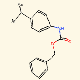 CC(=O)C(C(C)=O)c1ccc(NC(=O)OCc2ccccc2)cc1